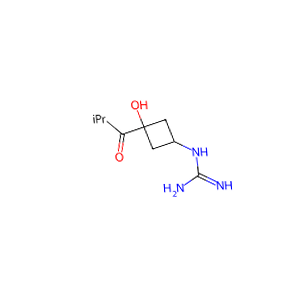 CC(C)C(=O)C1(O)CC(NC(=N)N)C1